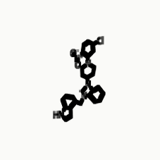 O=[N+]([O-])c1ccc(Cl)cc1N1CCC(N2[CH]N(Cc3cccc4[nH]ccc34)c3ccccc32)CC1